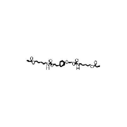 C=CC(=O)OCCCCCNC(=O)OCCOc1ccc(CCOC(=O)NCCCCCOC(=O)C=C)cc1